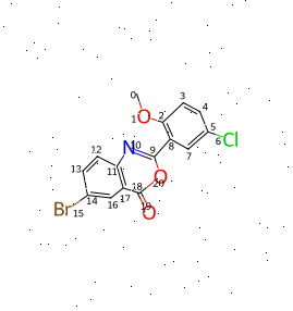 COc1ccc(Cl)cc1-c1nc2ccc(Br)cc2c(=O)o1